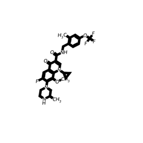 COc1c(N2CCNC(C)C2)c(F)cc2c(=O)c(C(=O)NCc3ccc(OC(F)(F)F)cc3C)cn(C3CC3)c12